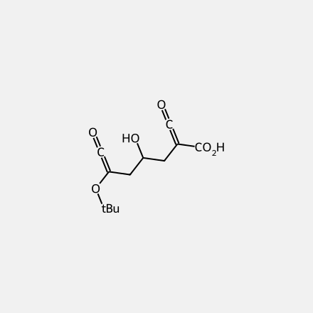 CC(C)(C)OC(=C=O)CC(O)CC(=C=O)C(=O)O